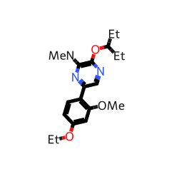 CCOc1ccc(-c2cnc(OC(CC)CC)c(NC)n2)c(OC)c1